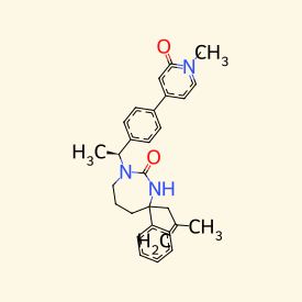 C=C(C)CC1(c2ccccc2)CCCN([C@@H](C)c2ccc(-c3ccn(C)c(=O)c3)cc2)C(=O)N1